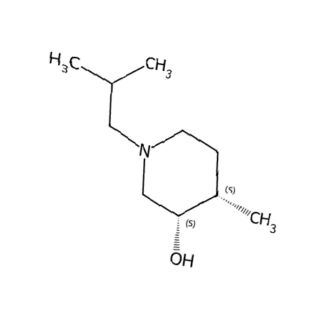 CC(C)CN1CC[C@H](C)[C@H](O)C1